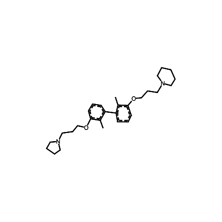 Cc1c(OCCCN2CCCCC2)cccc1-c1cccc(OCCCN2CCCC2)c1C